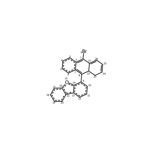 BrC1=c2ccccc2=C(c2cccc3c2oc2ccccc23)C2CC=CC=C12